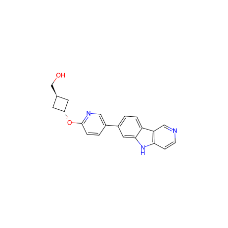 OC[C@H]1C[C@H](Oc2ccc(-c3ccc4c(c3)[nH]c3ccncc34)cn2)C1